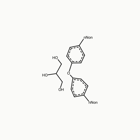 CCCCCCCCCc1ccc(Oc2ccc(CCCCCCCCC)cc2)cc1.OCC(O)CO